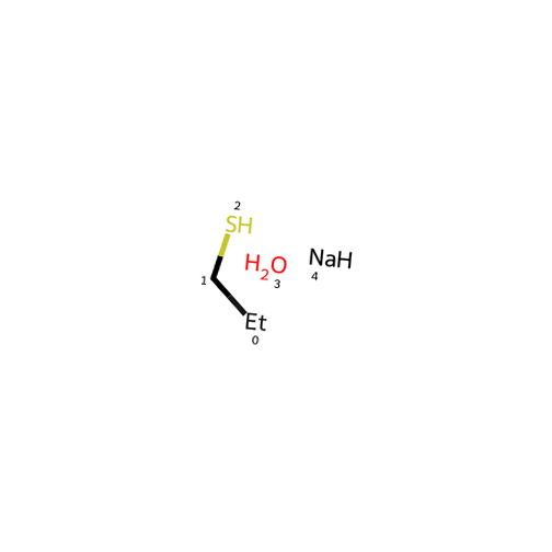 CCCS.O.[NaH]